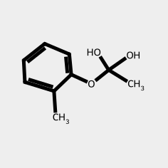 Cc1ccccc1OC(C)(O)O